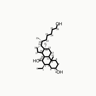 CC[C@@H]1C2C[C@H](O)CCC2(C)C2CC[C@@]3(C)C(CC[C@@H]3[C@H](C)CCCCCO)C2[C@@H]1O